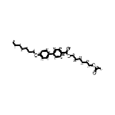 CCCCCCCOc1ccc(-c2ccc(C(=O)OCCCCCCOC(C)=O)cc2)cc1